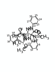 CCN(CC)N(c1ccccc1OC)C1(NC(C)=O)C(=O)N(c2ccccc2)N=C1NC(=O)c1ccccc1